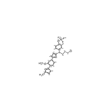 COc1cc(-c2nnc(C(CCCCl)c3ccc(OC(F)(F)F)cc3)o2)ccc1-c1cnc(C)o1